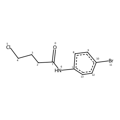 O=C(CCCCl)Nc1ccc(Br)cc1